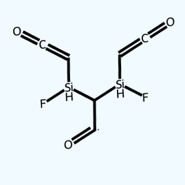 O=[C]C([SiH](F)C=C=O)[SiH](F)C=C=O